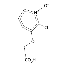 O=C(O)COc1ccc[n+]([O-])c1Cl